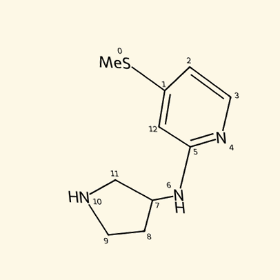 CSc1ccnc(NC2CCNC2)c1